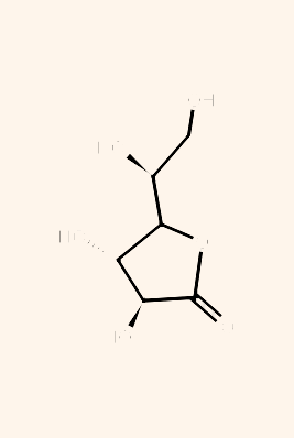 O=C1OC([C@@H](O)CO)[C@@H](O)[C@@H]1O